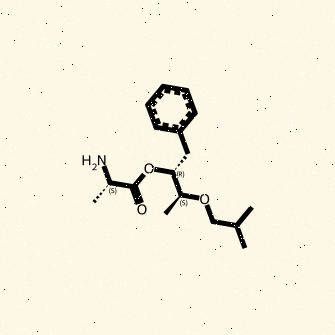 CC(C)CO[C@@H](C)[C@@H](Cc1ccccc1)OC(=O)[C@H](C)N